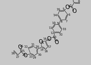 C=CC(=O)Oc1ccc(-c2ccc(C(=O)Oc3ccc(-c4ccc(OC(=O)C=C)cc4)o3)cc2)cc1